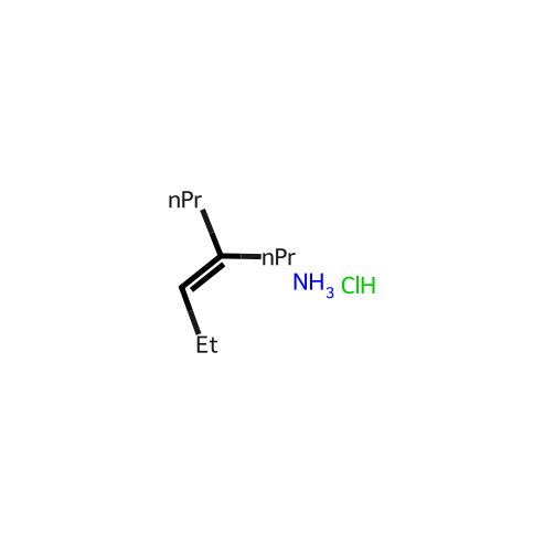 CCC=C(CCC)CCC.Cl.N